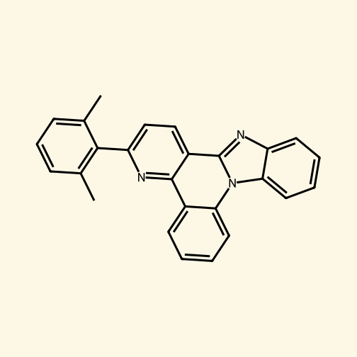 Cc1cccc(C)c1-c1ccc2c(n1)c1ccccc1n1c3ccccc3nc21